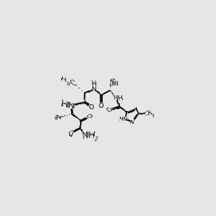 Cc1cc(C(=O)N[C@H](C(=O)N[C@@H](C)C(=O)N[C@H](C(=O)C(N)=O)C(C)C)C(C)(C)C)[nH]n1